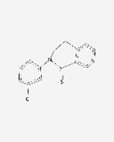 S=C1c2ccccc2CCN1c1cccc(Cl)c1